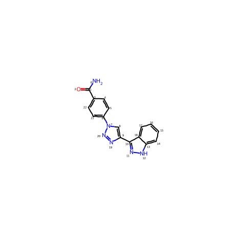 NC(=O)c1ccc(-n2cc(-c3n[nH]c4ccccc34)nn2)cc1